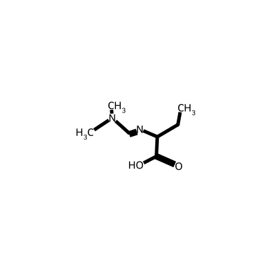 CCC(N=CN(C)C)C(=O)O